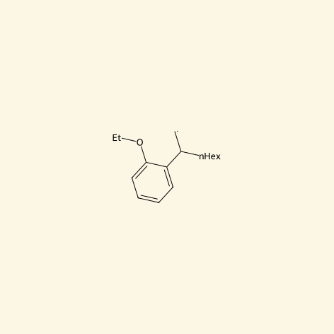 [CH2]C(CCCCCC)c1ccccc1OCC